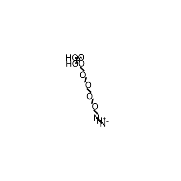 [N-]=[N+]=NCCOCCOCCOCCOCCOP(=O)(O)O